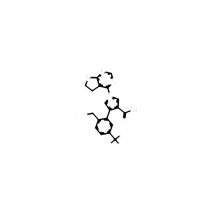 CCc1ccc(C(F)(F)F)cc1-c1cn(-c2ncnc3c2CCN3)cc1C(N)=O